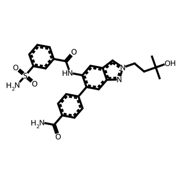 CC(C)(O)CCn1cc2cc(NC(=O)c3cccc(S(N)(=O)=O)c3)c(-c3ccc(C(N)=O)cc3)cc2n1